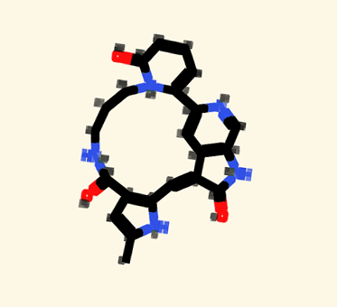 Cc1cc2c([nH]1)/C=C1\C(=O)Nc3cnc(cc31)-c1cccc(=O)n1CCCNC2=O